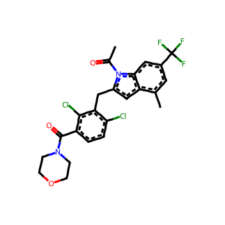 CC(=O)n1c(Cc2c(Cl)ccc(C(=O)N3CCOCC3)c2Cl)cc2c(C)cc(C(F)(F)F)cc21